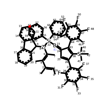 CC=C(C)C(C)=[C](C)[Zr]([CH]1c2ccccc2-c2ccccc21)[Si](/B=C1\C=C(c2c(F)c(F)c(F)c(F)c2F)C([Si](C)(C)C)=C1c1c(F)c(F)c(F)c(F)c1F)(c1ccccc1)c1ccccc1